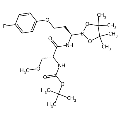 COC[C@@H](NC(=O)OC(C)(C)C)C(=O)N[C@@H](CCOc1ccc(F)cc1)B1OC(C)(C)C(C)(C)O1